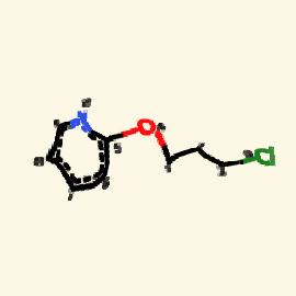 ClCCCOc1ccccn1